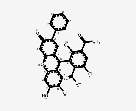 CC(=O)c1cc(Cl)c(C(=O)O)c(-c2c3cc(-c4ccccc4)c(=O)cc-3oc3cc(O)c(Cl)cc23)c1Cl